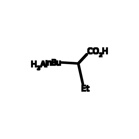 CCCCC(CC)C(=O)O.[AlH3]